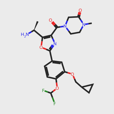 C[C@H](N)c1oc(-c2ccc(OC(F)F)c(OCC3CC3)c2)nc1C(=O)N1CCN(C)C(=O)C1